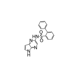 O=S(=O)(Nc1cnc2[nH]ccc2n1)c1ccccc1-c1ccccc1